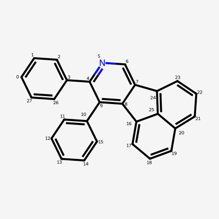 c1ccc(-c2ncc3c(c2-c2ccccc2)-c2cccc4cccc-3c24)cc1